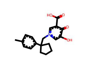 Cc1ccc(C2(Cn3cc(O)c(=O)c(C(=O)O)c3)CCCC2)cc1